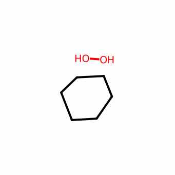 C1CCCCC1.OO